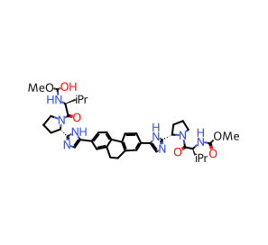 COC(=O)N[C@H](C(=O)N1CCC[C@H]1c1ncc(-c2ccc3c(c2)CCc2cc(-c4cnc([C@@H]5CCCN5C(=O)[C@@H](NC(O)OC)C(C)C)[nH]4)ccc2-3)[nH]1)C(C)C